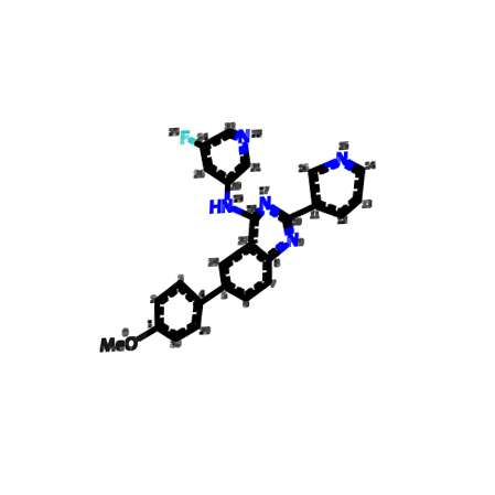 COc1ccc(-c2ccc3nc(-c4cccnc4)nc(Nc4cncc(F)c4)c3c2)cc1